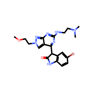 COCCn1cc2c(C3C(=O)Nc4ccc(Br)cc43)nc(NCCN(C)C)nc2n1